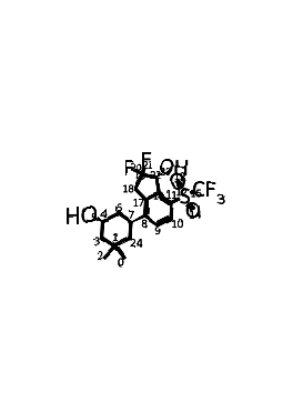 CC1(C)C[C@@H](O)C[C@@H](c2ccc(S(=O)(=O)C(F)(F)F)c3c2CC(F)(F)[C@H]3O)C1